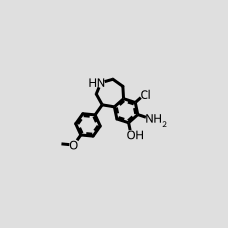 COc1ccc(C2CNCCc3c2cc(O)c(N)c3Cl)cc1